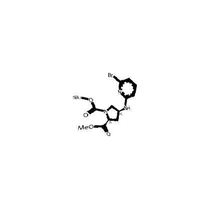 COC(=O)[C@@H]1C[C@H](Nc2cccc(Br)n2)CN1C(=O)OC(C)(C)C